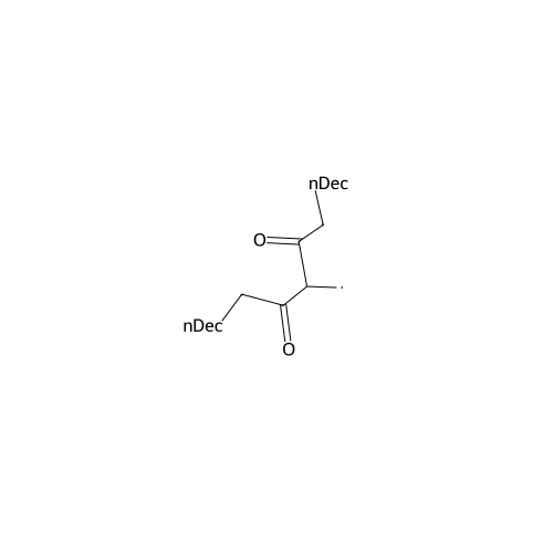 [CH2]C(C(=O)CCCCCCCCCCC)C(=O)CCCCCCCCCCC